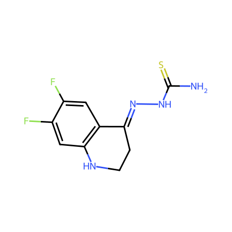 NC(=S)NN=C1CCNc2cc(F)c(F)cc21